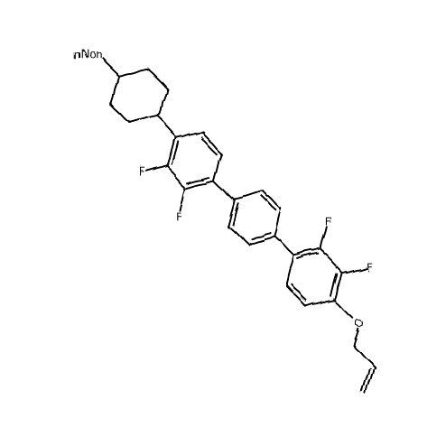 C=CCOc1ccc(-c2ccc(-c3ccc(C4CCC(CCCCCCCCC)CC4)c(F)c3F)cc2)c(F)c1F